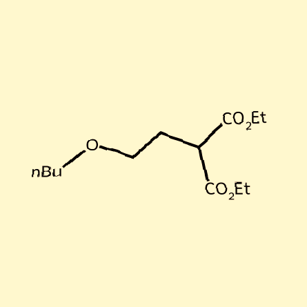 CCCCOCCC(C(=O)OCC)C(=O)OCC